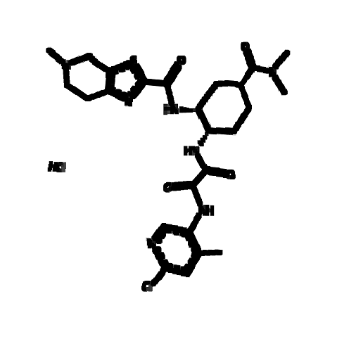 Cc1cc(Cl)ncc1NC(=O)C(=O)N[C@H]1CC[C@H](C(=O)N(C)C)C[C@H]1NC(=O)c1nc2c(s1)CN(C)CC2.Cl